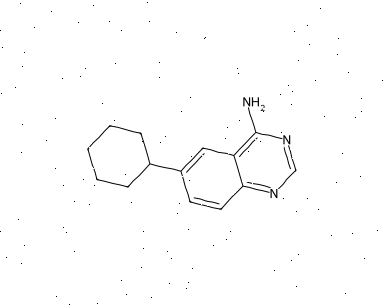 Nc1ncnc2ccc(C3CCCCC3)cc12